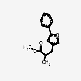 COC(=O)C(C)Cc1coc(-c2ccccc2)c1